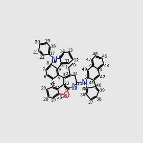 CCC1=C(c2cccc3c2c2ccccc2n3-c2ccccc2)c2c(oc3ccccc23)N=C(n2c3ccccc3c3cc4ccccc4cc32)C1